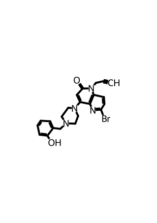 C#CCn1c(=O)cc(N2CCN(Cc3ccccc3O)CC2)c2nc(Br)ccc21